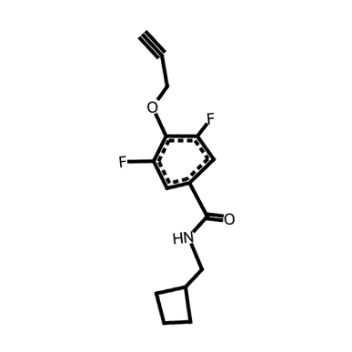 C#CCOc1c(F)cc(C(=O)NCC2CCC2)cc1F